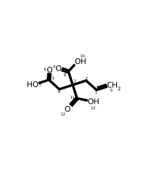 C=CCC(CC(=O)O)(C(=O)O)C(=O)O